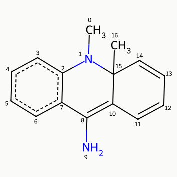 CN1c2ccccc2C(N)=C2C=CC=CC21C